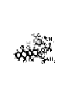 CO[C@H]1[C@@H](NC(=O)C(F)(F)F)C[C@H](O[C@H]2C[C@](O)(COC(N)=O)Cc3c(O)c4c(c(O)c32)C(=O)c2ccccc2C4=O)O[C@H]1C